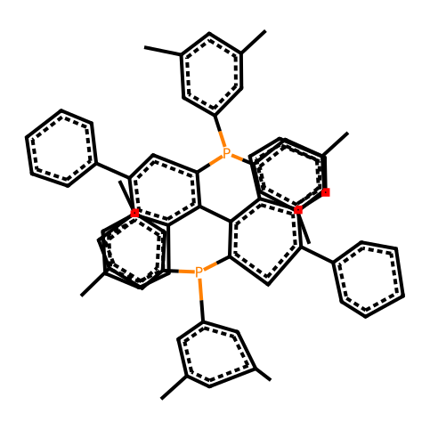 Cc1cc(C)cc(P(c2cc(C)cc(C)c2)c2cc(-c3ccccc3)c3ccccc3c2-c2c(P(c3cc(C)cc(C)c3)c3cc(C)cc(C)c3)cc(-c3ccccc3)c3ccccc23)c1